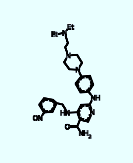 CCN(CC)CCN1CCN(c2ccc(Nc3cc(NCc4cccc(N=O)c4)c(C(N)=O)cn3)cc2)CC1